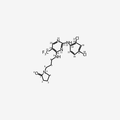 O=C1CCCN1CCCNc1nc(Nc2ccc(Cl)cc2Cl)ncc1C(F)(F)F